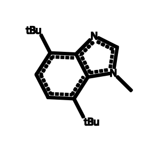 Cn1cnc2c(C(C)(C)C)ccc(C(C)(C)C)c21